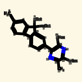 CCCCCCCCC1(CCCCCCCC)c2cc(C)ccc2-c2ccc(-c3nc(C)c(CCCCCC)nc3CCCCCC)cc21